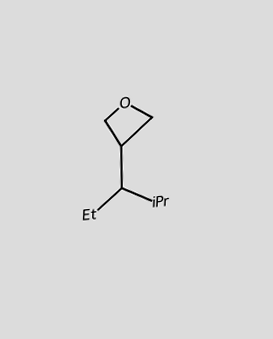 CCC(C(C)C)C1COC1